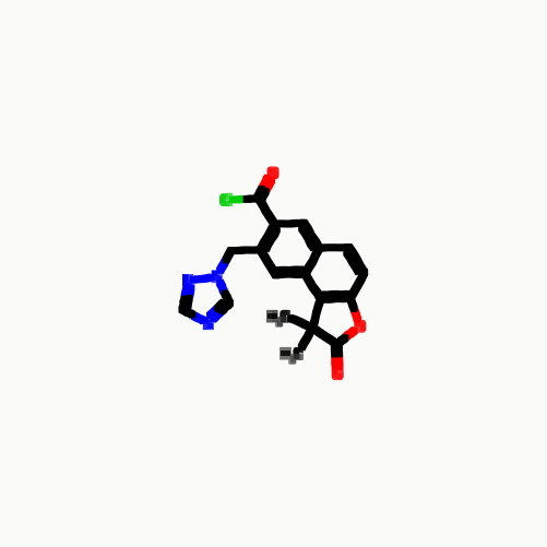 CC1(C)C(=O)Oc2ccc3cc(C(=O)Cl)c(Cn4cncn4)cc3c21